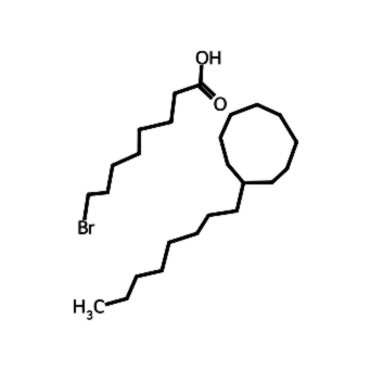 CCCCCCCCC1CCCCCCCC1.O=C(O)CCCCCCCBr